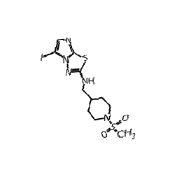 CS(=O)(=O)N1CCC(CNc2nn3c(I)cnc3s2)CC1